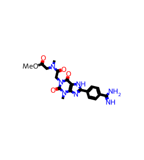 COC(=O)CN(C)C(=O)Cn1c(=O)c2[nH]c(-c3ccc(C(=N)N)cc3)nc2n(C)c1=O